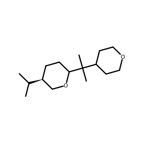 CC(C)[C@H]1CCC(C(C)(C)C2CCOCC2)OC1